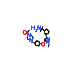 CCn1nc(-c2cccc(C(C)(C)N)c2)cc1Oc1ccc(CN2CCN(C(C)=O)CC2)cc1